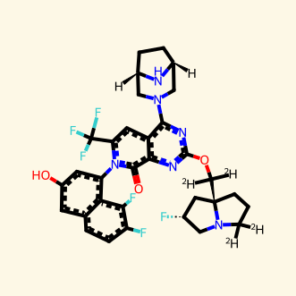 [2H]C1([2H])CC[C@@]2(C([2H])([2H])Oc3nc(N4C[C@H]5CC[C@@H](C4)N5)c4cc(C(F)(F)F)n(-c5cc(O)cc6ccc(F)c(F)c56)c(=O)c4n3)C[C@@H](F)CN12